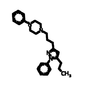 CCCc1cc(CCCN2CCN(c3ccccc3)CC2)nn1-c1ccccc1